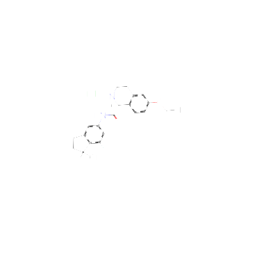 CCOc1ccc2c(c1)CCN[C@H]2C(=O)Nc1cc(F)c2c(c1)CCC2(C)C.Cl